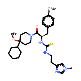 CCCOC1(C2CCCCC2)CCN(C(=O)[C@@H](Cc2ccc(OC)cc2)NC(=S)NCCc2cn(C)cn2)CC1